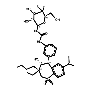 CCCC[C@]1(CC)CS(=O)(=O)c2ccc(N(C)C)cc2[C@@H](c2cccc(NC(=O)N[C@@H]3O[C@H](CO)C(F)(F)[C@H](O)[C@H]3O)c2)[C@H]1O